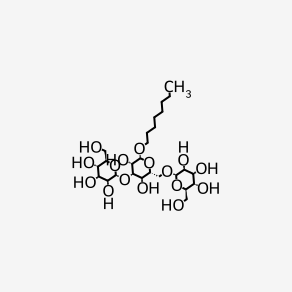 CCCCCCCCO[C@@H]1O[C@H](CO[C@H]2O[C@H](CO)[C@@H](O)[C@H](O)[C@@H]2O)[C@@H](O)[C@H](O[C@H]2O[C@H](CO)[C@@H](O)[C@H](O)[C@@H]2O)[C@@H]1O